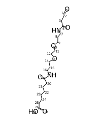 O=[C]CCC(=O)NCCCOCCOCCCNC(=O)CCCCCCC(=O)O